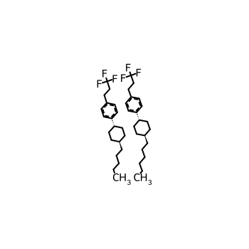 CCCCCC[C@H]1CC[C@H](c2ccc(CCC(F)(F)F)cc2)CC1.CCCCC[C@H]1CC[C@H](c2ccc(CCC(F)(F)F)cc2)CC1